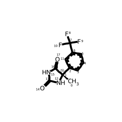 C[C@@]1(c2cccc(C(F)(F)F)c2)NC(=O)NC1=O